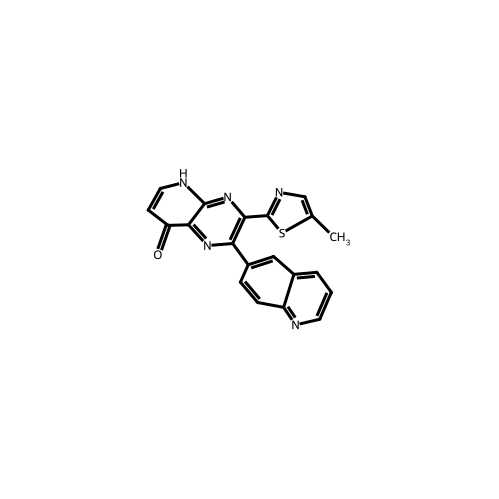 Cc1cnc(-c2nc3[nH]ccc(=O)c3nc2-c2ccc3ncccc3c2)s1